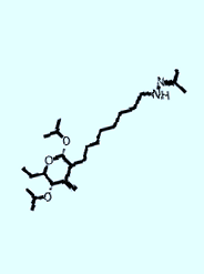 CCC1O[C@H](OC(C)C)C(CCCCCCCCNN=C(C)C)C(C)[C@@H]1OC(C)C